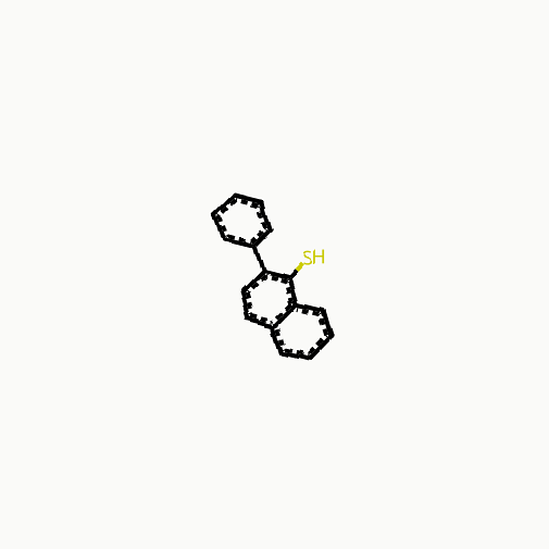 Sc1c(-c2ccccc2)ccc2ccccc12